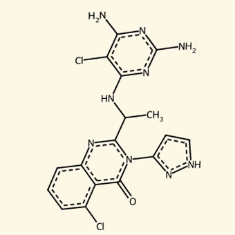 CC(Nc1nc(N)nc(N)c1Cl)c1nc2cccc(Cl)c2c(=O)n1-c1cc[nH]n1